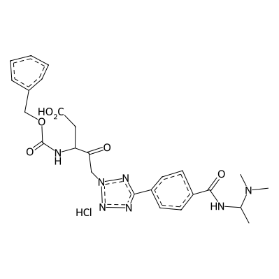 CC(NC(=O)c1ccc(-c2nnn(CC(=O)C(CC(=O)O)NC(=O)OCc3ccccc3)n2)cc1)N(C)C.Cl